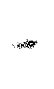 CC(C)(C)OC(=O)N1CC=C(c2c(Cl)cc(N=S)cc2Cl)CC1